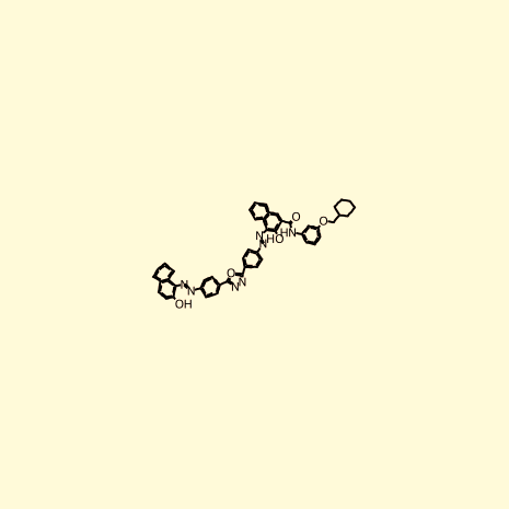 O=C(Nc1cccc(OCC2CCCCC2)c1)c1cc2ccccc2c(N=Nc2ccc(-c3nnc(-c4ccc(N=Nc5c(O)ccc6ccccc56)cc4)o3)cc2)c1O